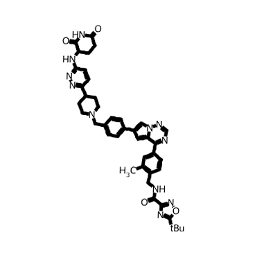 Cc1cc(-c2ncnn3cc(-c4ccc(CN5CCC(c6ccc(NC7CCC(=O)NC7=O)nn6)CC5)cc4)cc23)ccc1CNC(=O)c1noc(C(C)(C)C)n1